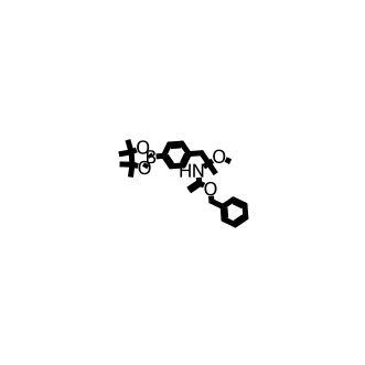 C=C(NC(C)(Cc1ccc(B2OC(C)(C)C(C)(C)O2)cc1)OC)OCc1ccccc1